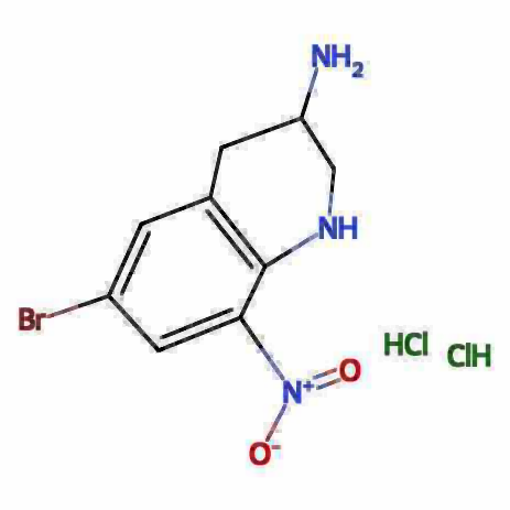 Cl.Cl.NC1CNc2c(cc(Br)cc2[N+](=O)[O-])C1